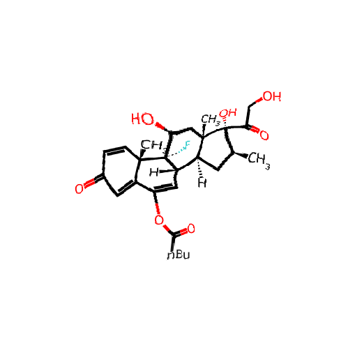 CCCCC(=O)OC1=C[C@H]2[C@@H]3C[C@H](C)[C@](O)(C(=O)CO)[C@@]3(C)C[C@H](O)[C@]2(F)[C@@]2(C)C=CC(=O)C=C12